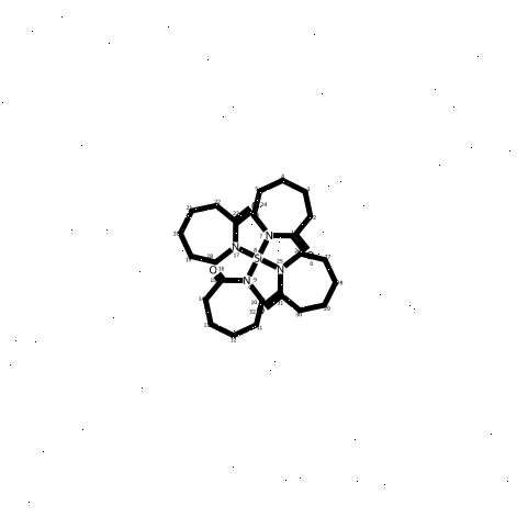 O=C1CCCCCN1[Si](N1CCCCCC1=O)(N1CCCCCC1=O)N1CCCCCC1=O